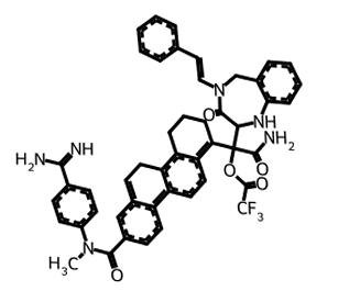 CN(C(=O)c1ccc2c(c1)=CCc1c3c(ccc1=2)=C(C(OC(=O)C(F)(F)F)(C(N)=O)C1Nc2ccccc2CN(C=Cc2ccccc2)C1=O)CCC3)c1ccc(C(=N)N)cc1